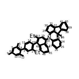 CCc1cc(-c2c(C)cc(C)cc2C)ccc1-c1c(CC)cc(N(c2ccccc2)c2cccc3c2C(C)(I)c2ccccc2-3)c2ccccc12